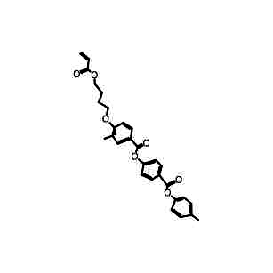 C=CC(=O)OCCCCOc1ccc(C(=O)Oc2ccc(C(=O)Oc3ccc(C)cc3)cc2)cc1C